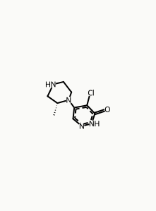 C[C@@H]1CNCCN1c1cn[nH]c(=O)c1Cl